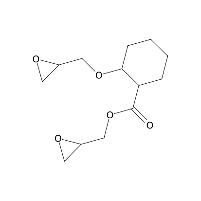 O=C(OCC1CO1)C1CCCCC1OCC1CO1